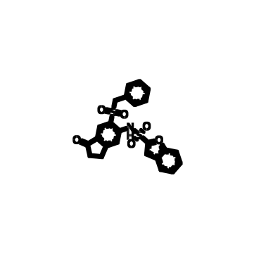 O=C1CCc2cc(NS(=O)(=O)c3cc4ccccc4o3)c(S(=O)(=O)Cc3ccccc3)cc21